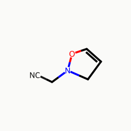 N#CCN1CC=CO1